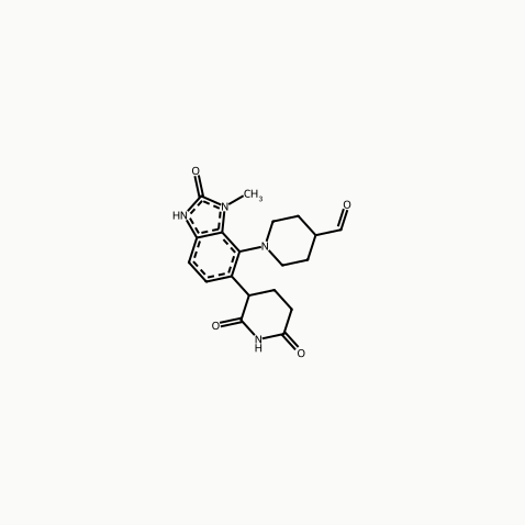 Cn1c(=O)[nH]c2ccc(C3CCC(=O)NC3=O)c(N3CCC(C=O)CC3)c21